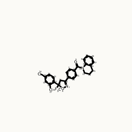 O=C(c1ccc(C2=NOC(c3ccc(Cl)cc3Cl)(C(F)(F)F)C2)cc1)N1CCCc2ccccc21